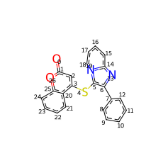 O=c1cc(Sc2c(-c3ccccc3)nc3ccccn23)c2ccccc2o1